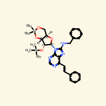 CC(C)(C)[Si](C)(C)O[C@@H]1[C@@H]2O[Si](C(C)(C)C)(C(C)(C)C)OC[C@H]2O[C@H]1n1c(NCc2ccccc2)nc2c(/C=C/c3ccccc3)ncnc21